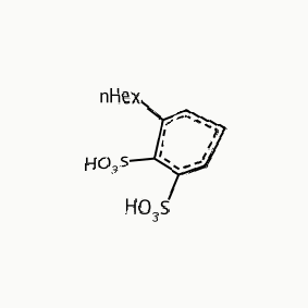 CCCCCCc1cccc(S(=O)(=O)O)c1S(=O)(=O)O